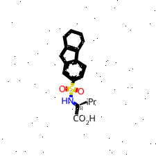 CC(C)[C@H](NS(=O)(=O)c1ccc2c(c1)CC1=C2CCCC1)C(=O)O